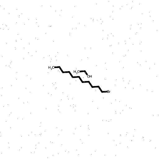 CCCCCCCCCCCBr.CCO